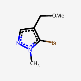 COCc1cnn(C)c1Br